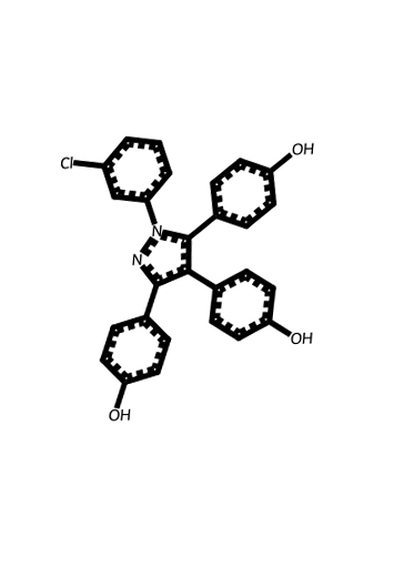 Oc1ccc(-c2nn(-c3cccc(Cl)c3)c(-c3ccc(O)cc3)c2-c2ccc(O)cc2)cc1